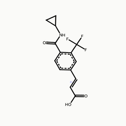 O=C(O)/C=C/c1ccc(C(=O)NC2CC2)c(C(F)(F)F)c1